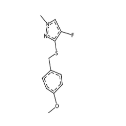 COc1ccc(CSc2nn(C)cc2F)cc1